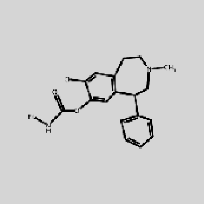 CCNC(=O)Oc1cc2c(cc1Cl)CCN(C)CC2c1ccccc1